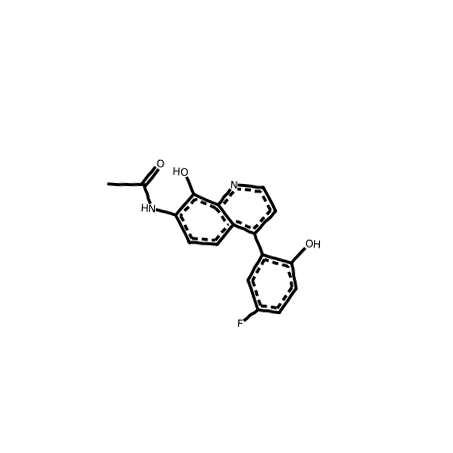 CC(=O)Nc1ccc2c(-c3cc(F)ccc3O)ccnc2c1O